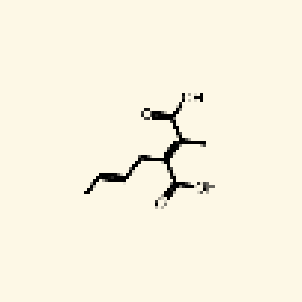 C/C=C/C/C(C(=O)O)=C(/C)C(=O)O